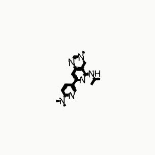 CC(C)Nc1nc(-c2ccc(N(C)C)nc2)cc2c1CN(C)C=N2